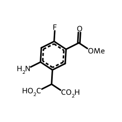 COC(=O)c1cc(C(C(=O)O)C(=O)O)c(N)cc1F